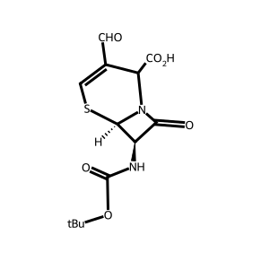 CC(C)(C)OC(=O)N[C@@H]1C(=O)N2C(C(=O)O)C(C=O)=CS[C@H]12